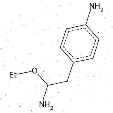 CCOC(N)Cc1ccc(N)cc1